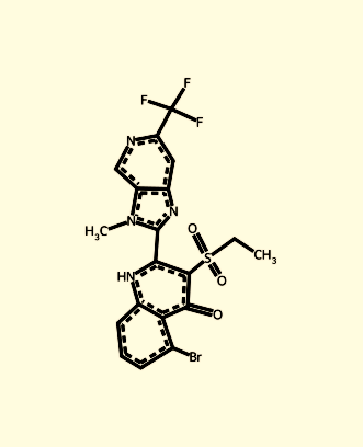 CCS(=O)(=O)c1c(-c2nc3cc(C(F)(F)F)ncc3n2C)[nH]c2cccc(Br)c2c1=O